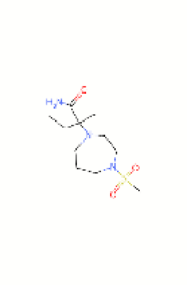 CCC(C)(C(N)=O)N1CCCN(S(C)(=O)=O)CC1